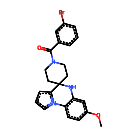 COc1ccc2c(c1)NC1(CCN(C(=O)c3cccc(Br)c3)CC1)c1cccn1-2